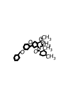 COC(=O)c1cc2oc3ccc(OCc4ccccc4)cc3c2cc1N(C(=O)[C@H]1CC[C@H](C)CC1)C(C)C